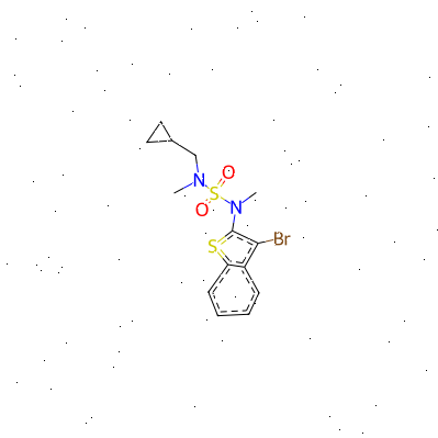 CN(CC1CC1)S(=O)(=O)N(C)c1sc2ccccc2c1Br